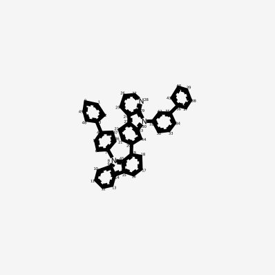 c1ccc(-c2ccc(-n3c4ccccc4c4cccc(-c5ccc6c7cccnc7n(-c7cccc(-c8ccccc8)c7)c6c5)c43)cc2)cc1